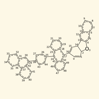 C1=CC2Oc3cc4ccccc4cc3C2C=C1c1c2ccccc2c(-c2ccc(-c3cc4ccccc4c4ccccc34)cc2)c2ccccc12